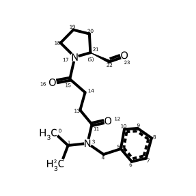 CC(C)N(Cc1ccccc1)C(=O)CCC(=O)N1CCC[C@H]1C=O